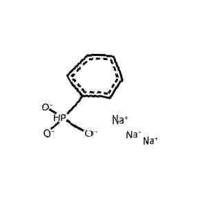 [Na+].[Na+].[Na+].[O-][PH]([O-])([O-])c1ccccc1